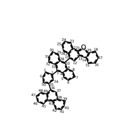 c1cc(-c2c3ccccc3c(-c3cc4c5ccccc5oc4c4ccccc34)c3ccccc23)cc(-c2cc3ccccc3c3ccccc23)c1